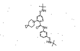 CC(C)(C)NSc1cccc(NC(=O)c2ccc(SNC(C)(C)C)cc2N2CCC3(CC2)CC3)c1